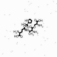 C[C@@H](O)[C@H](N)C(=O)OC[C@H](N)C(=O)O.N[C@@H](CCC(=O)O)C(=O)O.O=C(O)[C@@H]1CCCN1